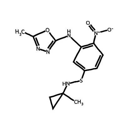 Cc1nnc(Nc2cc(SNC3(C)CC3)ccc2[N+](=O)[O-])o1